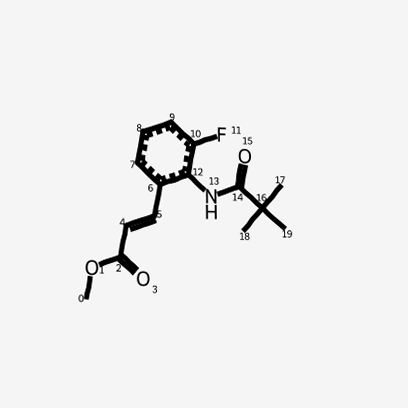 COC(=O)C=Cc1cccc(F)c1NC(=O)C(C)(C)C